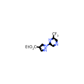 CCOC(=O)c1cnn(-c2cncc(C(F)(F)F)n2)c1